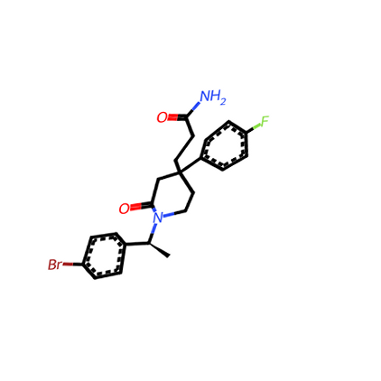 C[C@@H](c1ccc(Br)cc1)N1CCC(CCC(N)=O)(c2ccc(F)cc2)CC1=O